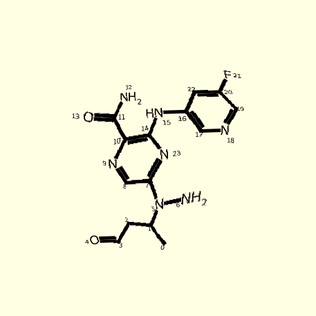 CC(CC=O)N(N)c1cnc(C(N)=O)c(Nc2cncc(F)c2)n1